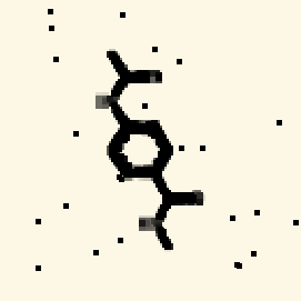 CNC(=O)c1ccc(NC(C)=O)cc1